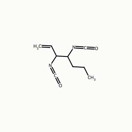 C=CC(N=C=O)C(CCC)N=C=O